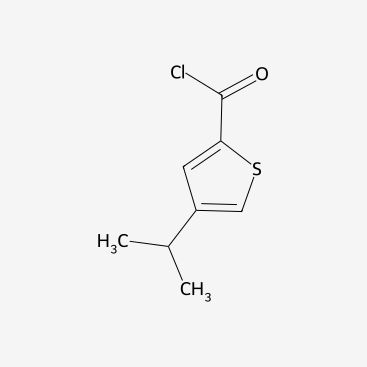 CC(C)c1csc(C(=O)Cl)c1